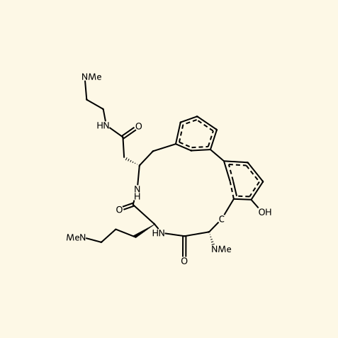 CNCCC[C@@H]1NC(=O)[C@@H](NC)Cc2cc(ccc2O)-c2cccc(c2)C[C@@H](CC(=O)NCCNC)NC1=O